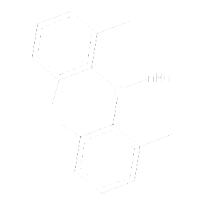 CCCCP(c1c(C)cccc1C)c1c(C)cccc1C